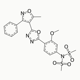 COc1cc(N(S(C)(=O)=O)S(C)(=O)=O)ccc1-c1nnc(-c2c(-c3ccccc3)noc2C)o1